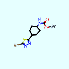 CC(C)OC(=O)NC1CC=C(c2nnc(Br)s2)CC1